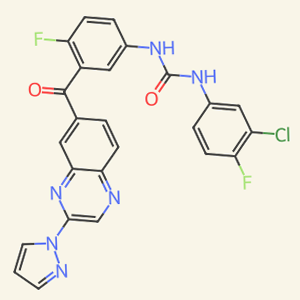 O=C(Nc1ccc(F)c(Cl)c1)Nc1ccc(F)c(C(=O)c2ccc3ncc(-n4cccn4)nc3c2)c1